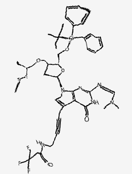 CSS[C@@H](C)OC1C[C@H](n2cc(C#CCNC(=O)C(F)(F)F)c3c(=O)[nH]c(/N=C\N(C)C)nc32)O[C@@H]1CO[Si](c1ccccc1)(c1ccccc1)C(C)(C)C